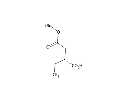 CC(C)(C)OC(=O)C[C@@H](CC(F)(F)F)C(=O)O